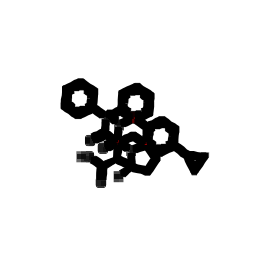 CN(Cc1ccc(C2CC2)cc1)C(=O)N1C2CC[C@@H]1[C@@H](C(=O)O)N(C(=O)N(c1ccccc1)c1ccccc1)C2